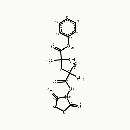 CC(C)(CC(C)(Br)C(=O)ON1C(=O)CCC1=O)C(=O)Oc1ccccc1